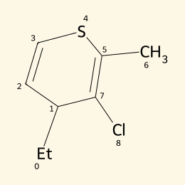 CCC1C=CSC(C)=C1Cl